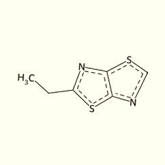 CCc1nc2scnc2s1